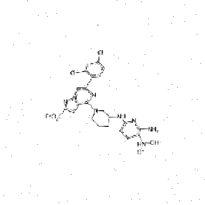 CCOC(=O)c1cc2c(N3CCCC(Nc4ccc([NH+]([O-])O)c(N)n4)C3)nc(-c3ccc(Cl)cc3Cl)cn2n1